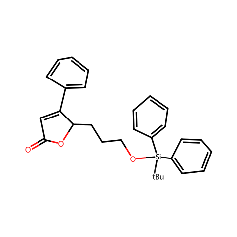 CC(C)(C)[Si](OCCCC1OC(=O)C=C1c1ccccc1)(c1ccccc1)c1ccccc1